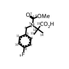 COC(=O)N(Cc1ccc(F)cc1)C(C)(C)C(=O)O